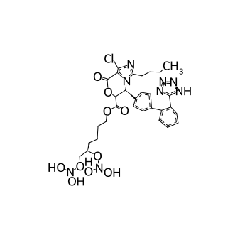 CCCCc1nc(Cl)c2n1[C@@H](c1ccc(-c3ccccc3-c3nnn[nH]3)cc1)C(C(=O)OCCCC[C@H](CON(O)O)ON(O)O)OC2=O